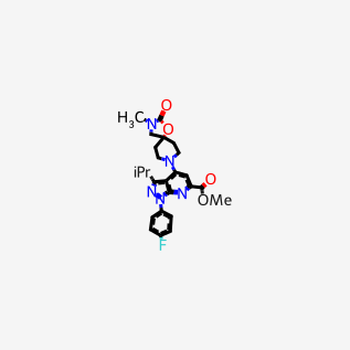 COC(=O)c1cc(N2CCC3(CC2)CN(C)C(=O)O3)c2c(C(C)C)nn(-c3ccc(F)cc3)c2n1